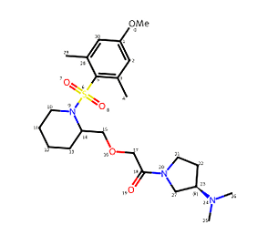 COc1cc(C)c(S(=O)(=O)N2CCCCC2COCC(=O)N2CC[C@@H](N(C)C)C2)c(C)c1